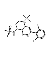 CC(C)(C)[C@H]1CCC(NS(C)(=O)=O)C2N=NC(c3c(F)cccc3F)=CC21